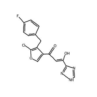 O=C(C=C(O)c1nc[nH]n1)c1coc(Cl)c1Cc1ccc(F)cc1